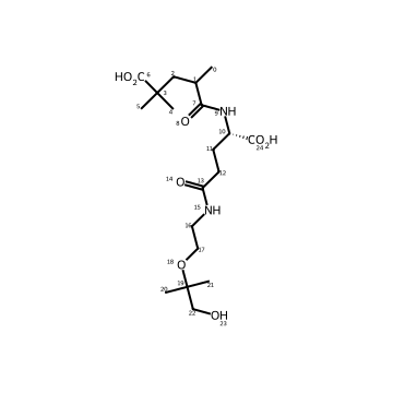 CC(CC(C)(C)C(=O)O)C(=O)N[C@@H](CCC(=O)NCCOC(C)(C)CO)C(=O)O